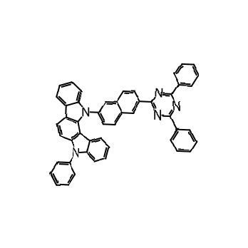 c1ccc(-c2nc(-c3ccccc3)nc(-c3ccc4cc(-n5c6ccccc6c6ccc7c(c8ccccc8n7-c7ccccc7)c65)ccc4c3)n2)cc1